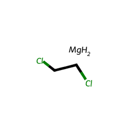 ClCCCl.[MgH2]